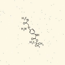 COC(=O)C[C@@H](N)c1ccc(NC(=O)OC(C)(C)C)cc1